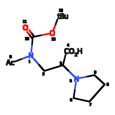 CC(=O)N(CC(C(=O)O)N1CCCC1)C(=O)OC(C)(C)C